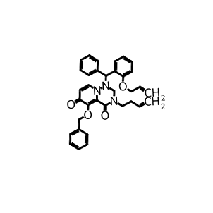 C=CCCN1CN(C(c2ccccc2)c2ccccc2OCC=C)n2ccc(=O)c(OCc3ccccc3)c2C1=O